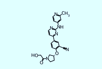 Cc1cc(Nc2nccc(-c3ccc(O[C@@H]4CCN(C(=O)CO)C4)c(C#N)c3)n2)ccn1